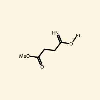 CCOC(=N)CCC(=O)OC